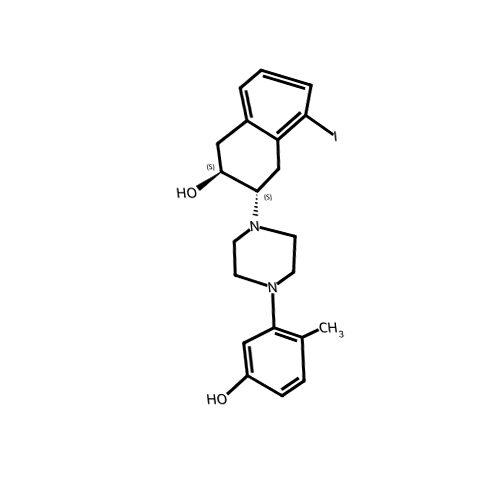 Cc1ccc(O)cc1N1CCN([C@H]2Cc3c(I)cccc3C[C@@H]2O)CC1